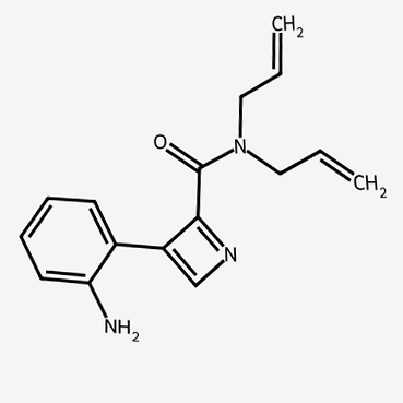 C=CCN(CC=C)C(=O)C1=NC=C1c1ccccc1N